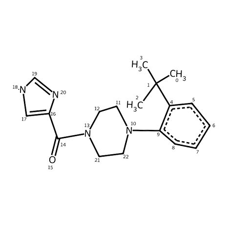 CC(C)(C)c1ccccc1N1CCN(C(=O)C2=C[N]C=N2)CC1